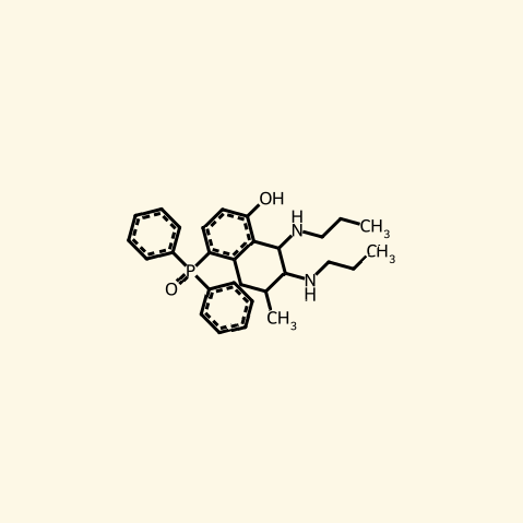 CCCNC1c2c(O)ccc(P(=O)(c3ccccc3)c3ccccc3)c2CC(C)C1NCCC